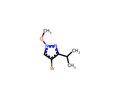 COn1cc(Br)c(C(C)C)n1